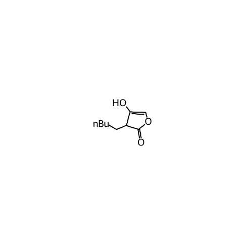 CCCCCC1C(=O)OC=C1O